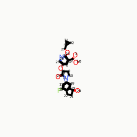 COC(=O)c1cc(O[C@@H]2CCN(c3cc(F)c4c(c3)C(=O)CC4)C2=O)cnc1OCC1CC1